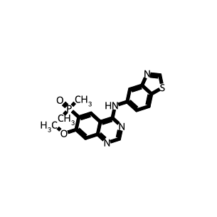 COc1cc2ncnc(Nc3ccc4scnc4c3)c2cc1P(C)(C)=O